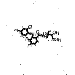 CC(C)(ONC(=O)c1ccc(F)c(F)c1Nc1ccc(I)cc1Cl)C(O)CO